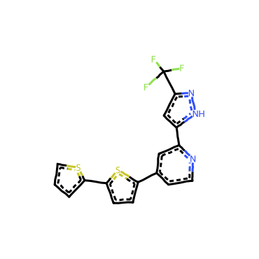 FC(F)(F)c1cc(-c2cc(-c3ccc(-c4cccs4)s3)ccn2)[nH]n1